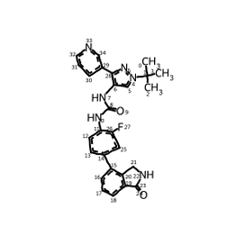 CC(C)(C)n1cc(NC(=O)Nc2ccc(-c3cccc4c3CNC4=O)cc2F)c(-c2cccnc2)n1